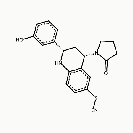 N#CSc1ccc2c(c1)[C@@H](N1CCCC1=O)C[C@@H](c1cccc(O)c1)N2